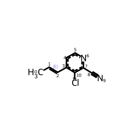 C/C=C/c1ccnc(C#N)c1Cl